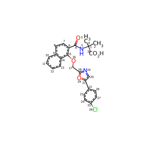 CC(C)(NC(=O)c1ccc2ccccc2c1OCc1ncc(-c2ccc(Cl)cc2)o1)C(=O)O